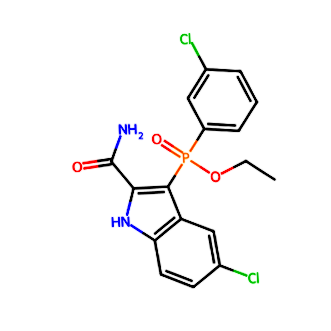 CCOP(=O)(c1cccc(Cl)c1)c1c(C(N)=O)[nH]c2ccc(Cl)cc12